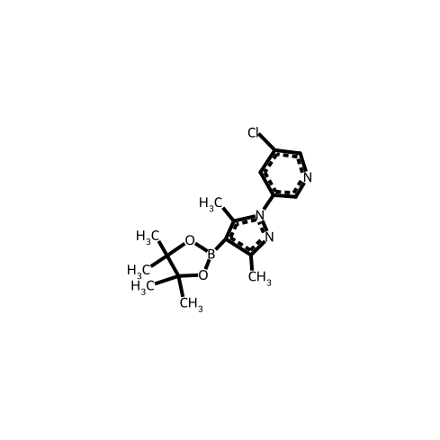 Cc1nn(-c2cncc(Cl)c2)c(C)c1B1OC(C)(C)C(C)(C)O1